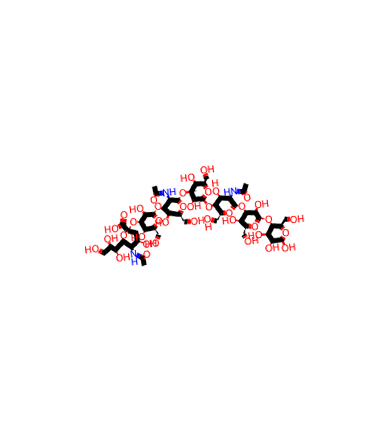 CC(=O)N[C@H]1[C@H](O[C@H]2[C@@H](O)[C@@H](CO)O[C@@H](O[C@H]3[C@H](O)[C@@H](O)[C@H](O)O[C@@H]3CO)[C@@H]2O)O[C@H](CO)[C@@H](O[C@@H]2O[C@H](CO)[C@H](O)[C@H](O[C@@H]3O[C@H](CO)[C@@H](O)[C@H](O[C@@H]4O[C@H](CO)[C@H](O)[C@H](O[C@]5(C(=O)O)C[C@H](O)[C@@H](NC(C)=O)[C@H]([C@H](O)[C@H](O)CO)O5)[C@H]4O)[C@H]3NC(C)=O)[C@H]2O)[C@@H]1O